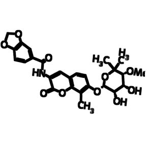 CO[C@@H]1[C@@H](O)[C@@H](O)[C@H](Oc2ccc3cc(NC(=O)c4ccc5c(c4)OCO5)c(=O)oc3c2C)OC1(C)C